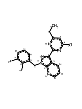 CCc1[c]c(Cl)nc(-c2nn(Cc3cccc(F)c3F)c3ncccc23)n1